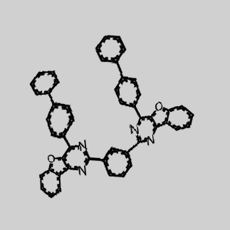 c1ccc(-c2ccc(-c3nc(-c4cccc(-c5nc(-c6ccc(-c7ccccc7)cc6)c6oc7ccccc7c6n5)c4)nc4c3oc3ccccc34)cc2)cc1